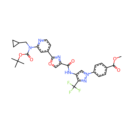 COC(=O)c1ccc(-n2cc(NC(=O)c3coc(-c4ccnc(N(CC5CC5)C(=O)OC(C)(C)C)c4)n3)c(C(F)(F)F)n2)cc1